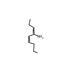 CC/C=C(N)\C=C/CCC